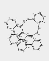 c1ccc(-c2cc3ccccc3c3c2-c2c(-c4ccccc4)cc4ccccc4c2OCc2ccccc2CO3)cc1